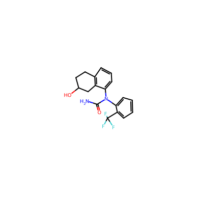 NC(=O)N(c1ccccc1C(F)(F)F)c1cccc2c1CC(O)CC2